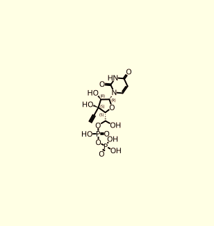 C#C[C@@]1(O)[C@@H](C(O)OP(=O)(O)OP(=O)(O)O)O[C@@H](n2ccc(=O)[nH]c2=O)[C@@H]1O